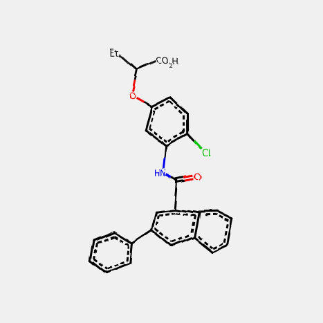 CCC(Oc1ccc(Cl)c(NC(=O)c2cc(-c3ccccc3)cc3ccccc23)c1)C(=O)O